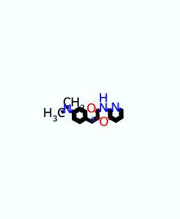 CN(C)c1ccc(/C=C2/Oc3cccnc3NC2=O)cc1